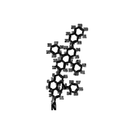 N#Cc1cc2ccc3cc(-c4ccc5c(-c6ccccc6)c6cc(-c7ccc8ccccc8c7)ccc6c(-c6ccccc6)c5c4)cc4c3c2c(c1)n4-c1ccccc1